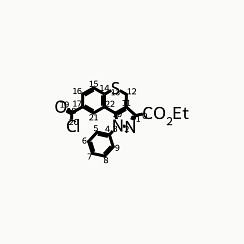 CCOC(=O)c1nn(-c2ccccc2)c2c1CSc1ccc(C(=O)Cl)cc1-2